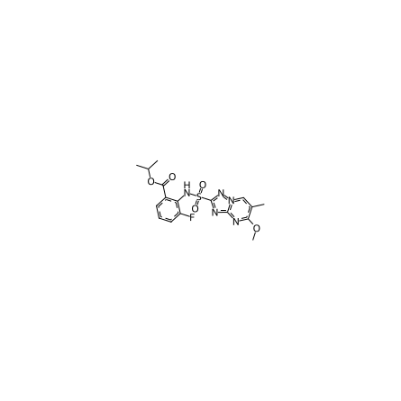 COc1nc2nc(S(=O)(=O)Nc3c(F)cccc3C(=O)OC(C)C)nn2cc1C